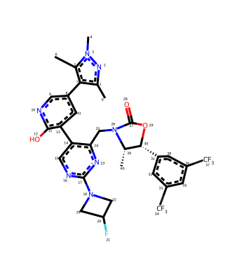 Cc1nn(C)c(C)c1-c1cnc(O)c(-c2cnc(N3CC(F)C3)nc2CN2C(=O)O[C@H](c3cc(C(F)(F)F)cc(C(F)(F)F)c3)[C@@H]2C)c1